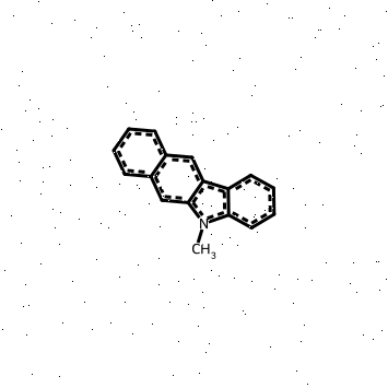 Cn1c2ccccc2c2cc3ccccc3cc21